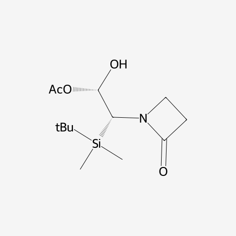 CC(=O)O[C@H](O)[C@H](N1CCC1=O)[Si](C)(C)C(C)(C)C